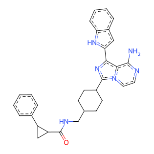 Nc1nccn2c(C3CCC(CNC(=O)C4CC4c4ccccc4)CC3)nc(-c3cc4ccccc4[nH]3)c12